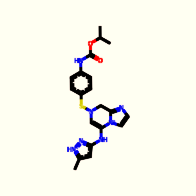 Cc1cc(NC2=CN(Sc3ccc(NC(=O)OC(C)C)cc3)CC3=NC=C[N+]23)n[nH]1